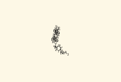 NCC1CCN(CCCS(=O)(=O)N2CCN(S(=O)(=O)N3CCCC3)CC2)CC1